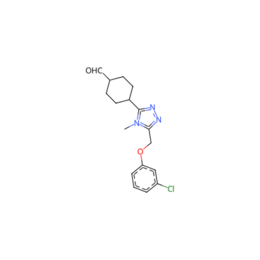 Cn1c(COc2cccc(Cl)c2)nnc1C1CCC(C=O)CC1